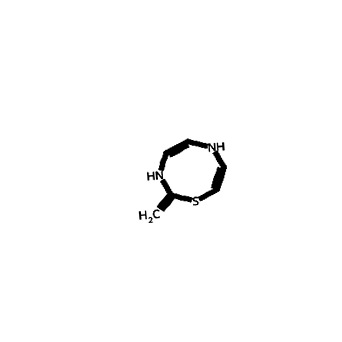 C=C1N/C=C\N/C=C\S1